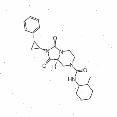 CC1CCCCC1NC(=O)N1CCN2C(=O)N([C@H]3C[C@@H]3c3ccccc3)C(=O)[C@@H]2C1